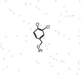 CC(C)OCc1ccc(Cl)c(Cl)c1